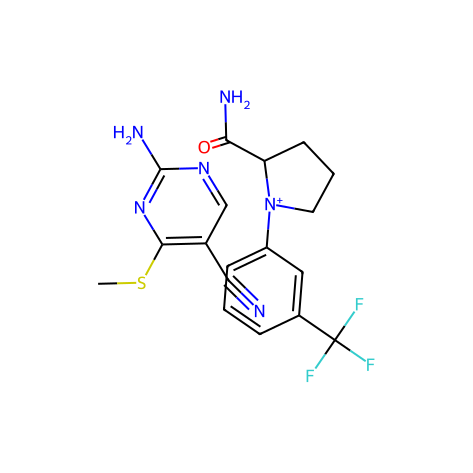 CSc1nc(N)nc([N@+]2(c3cccc(C(F)(F)F)c3)CCCC2C(N)=O)c1C#N